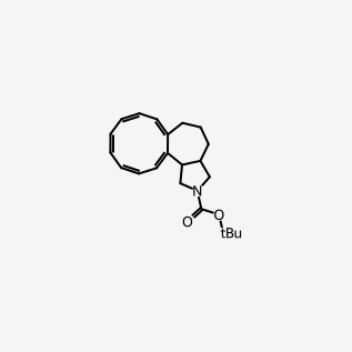 CC(C)(C)OC(=O)N1CC2CCCc3ccccccccc3C2C1